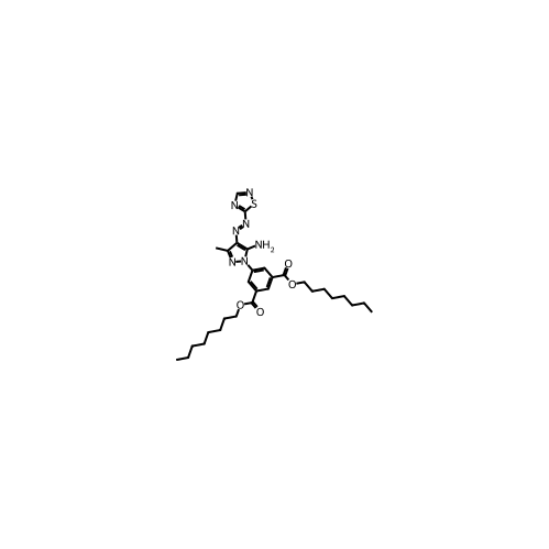 CCCCCCCCOC(=O)c1cc(C(=O)OCCCCCCCC)cc(-n2nc(C)c(N=Nc3ncns3)c2N)c1